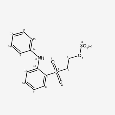 O=S(=O)(O)OCCS(=O)(=O)c1ccccc1Nc1ccccc1